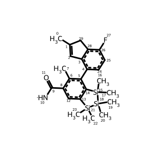 CC1=Cc2c(-c3c(C)c(C([NH])=O)cc4c3[Si](C)(C)[Si](C)(C)[Si]4(C)C)ccc(F)c2C1